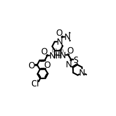 CN1CCc2nc(C(=O)N[C@@H]3CN(C(=O)N(C)C)CC[C@@H]3NC(=O)c3cc(=O)c4cc(Cl)ccc4o3)sc2C1